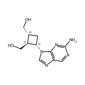 Nc1ncc2ncn([C@H]3C[C@@H](CO)[C@@H]3CO)c2n1